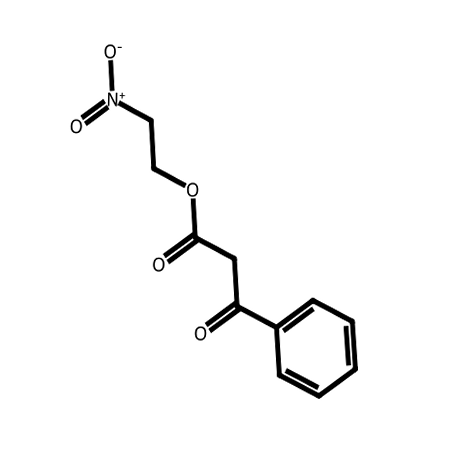 O=C(CC(=O)c1ccccc1)OCC[N+](=O)[O-]